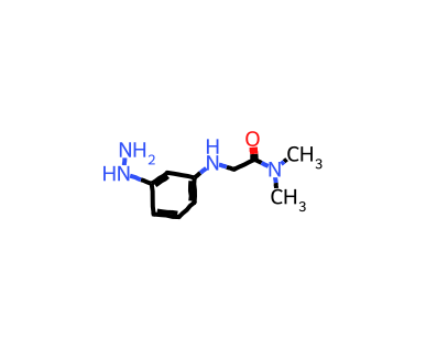 CN(C)C(=O)CNc1cccc(NN)c1